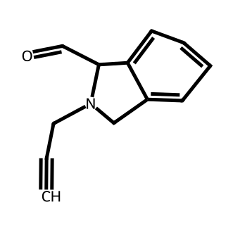 C#CCN1Cc2ccccc2C1C=O